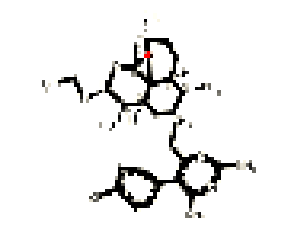 CCO[C@H]1O[C@@H]2O[C@]3(C)CC[C@H]4[C@H](C)CC[C@@H]([C@H]1C)C24OO3.CCc1nc(N)nc(N)c1-c1ccc(Cl)cc1